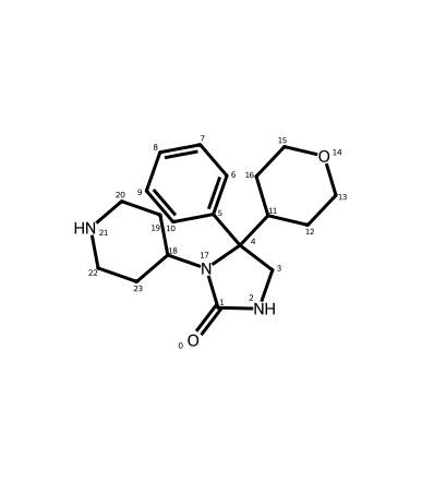 O=C1NCC(c2ccccc2)(C2CCOCC2)N1C1CCNCC1